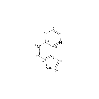 c1cnc2c(c1)ncc1[nH]ccc12